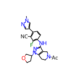 CC(=O)N1CCc2c(c(Nc3ccc(-c4cnn(C)c4)c(C#N)c3F)nn2C2CCOC2)C1